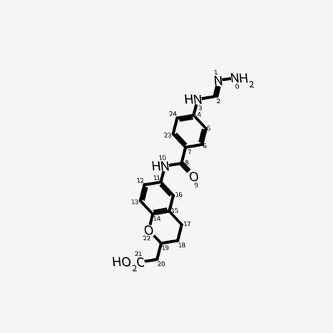 NN=CNc1ccc(C(=O)Nc2ccc3c(c2)CCC(CC(=O)O)O3)cc1